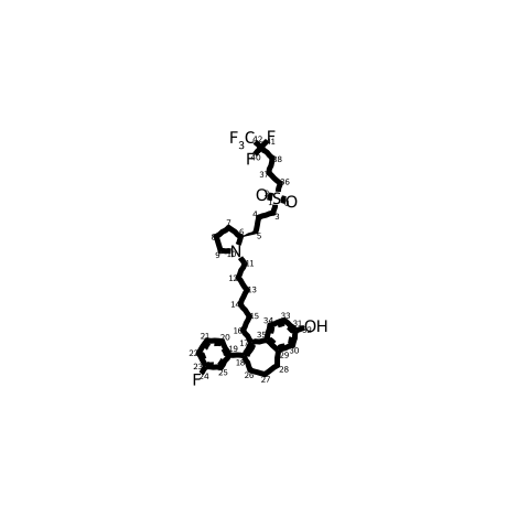 O=S(=O)(CCC[C@@H]1CCCN1CCCCCCC1=C(c2cccc(F)c2)CCCc2cc(O)ccc21)CCCC(F)(F)C(F)(F)F